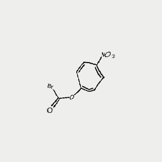 O=C(Br)Oc1ccc([N+](=O)[O-])cc1